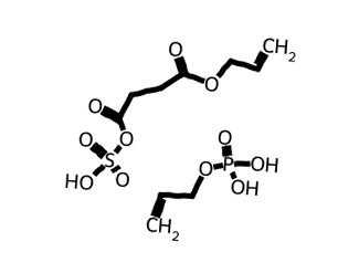 C=CCOC(=O)CCC(=O)OS(=O)(=O)O.C=CCOP(=O)(O)O